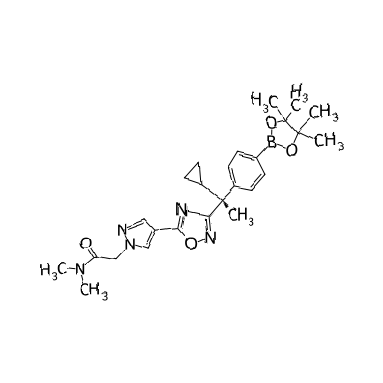 CN(C)C(=O)Cn1cc(-c2nc([C@@](C)(c3ccc(B4OC(C)(C)C(C)(C)O4)cc3)C3CC3)no2)cn1